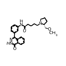 COC[C@H]1CCCN1CCCCC(=O)Nc1cccc(-c2n[nH]c(=O)c3ccccc23)c1